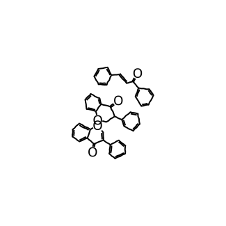 O=C(C=Cc1ccccc1)c1ccccc1.O=C1c2ccccc2OCC1c1ccccc1.O=c1c(-c2ccccc2)coc2ccccc12